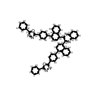 c1ccc(-c2nnc(-c3ccc(-c4ccc(-c5nc6ccccc6nc5-c5ccc(-c6ccc(-c7nnc(-c8ccccc8)o7)cc6)c6ccccc56)c5ccccc45)cc3)o2)cc1